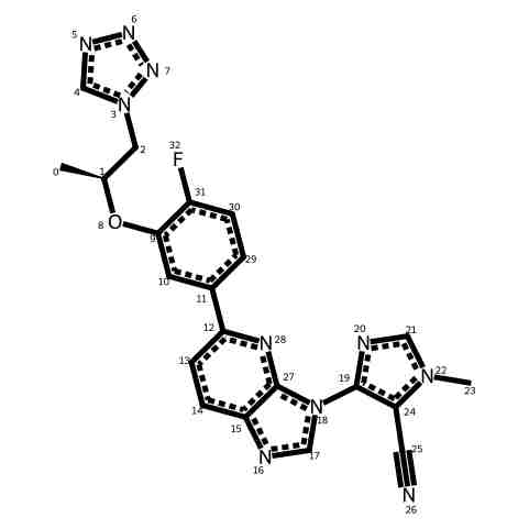 C[C@@H](Cn1cnnn1)Oc1cc(-c2ccc3ncn(-c4ncn(C)c4C#N)c3n2)ccc1F